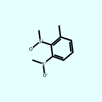 [CH2]c1cccc([S+](C)[O-])c1[S+](C)[O-]